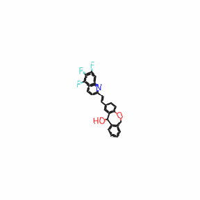 OC1c2ccccc2COc2ccc(/C=C/c3ccc4c(F)c(F)c(F)cc4n3)cc21